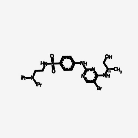 CC(C)N(CCNS(=O)(=O)c1ccc(Nc2ncc(Br)c(N[C@H](C)CO)n2)cc1)C(C)C